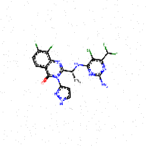 C[C@H](Nc1nc(N)nc(C(F)F)c1Cl)c1nc2c(F)c(F)ccc2c(=O)n1-c1cc[nH]n1